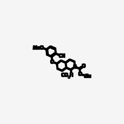 COc1ccc(C#N)c(OC2CCC3C(CCN(C(=O)OC(C)(C)C)C3C(=O)O)C2)c1